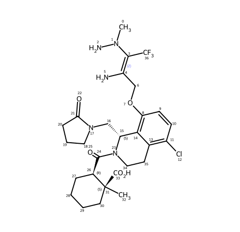 CN(N)/C(=C(\N)COc1ccc(Cl)c2c1[C@@H](CN1CCCC1=O)N(C(=O)[C@@H]1CCCC[C@]1(C)C(=O)O)CC2)C(F)(F)F